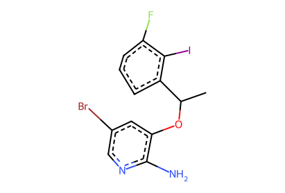 CC(Oc1cc(Br)cnc1N)c1cccc(F)c1I